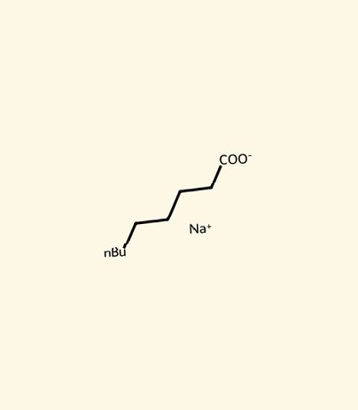 CCCCCCCCC(=O)[O-].[Na+]